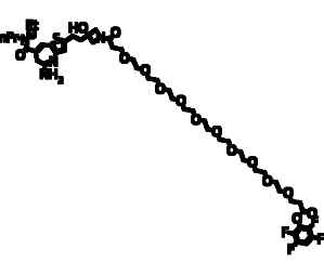 CCCN(OCC)C(=O)C1=Cc2sc(CCC3(O)CN(C(=O)CCOCCOCCOCCOCCOCCOCCOCCOCCOCCOCCC(=O)Oc4c(F)c(F)cc(F)c4F)C3)cc2N=C(N)C1